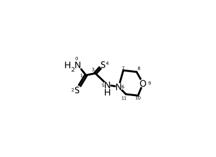 NC(=S)C(=S)NN1CCOCC1